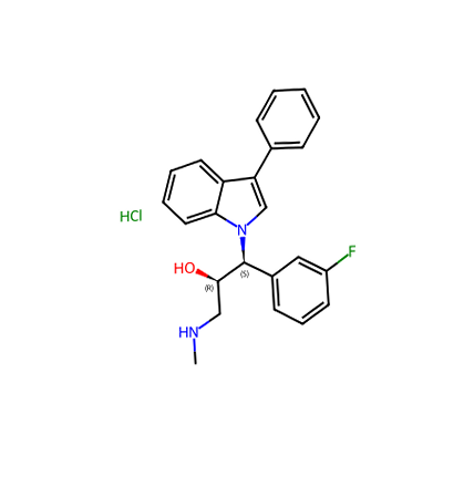 CNC[C@@H](O)[C@H](c1cccc(F)c1)n1cc(-c2ccccc2)c2ccccc21.Cl